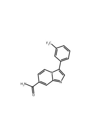 NC(=O)c1ccn2c(-c3cccc(C(F)(F)F)c3)cnc2c1